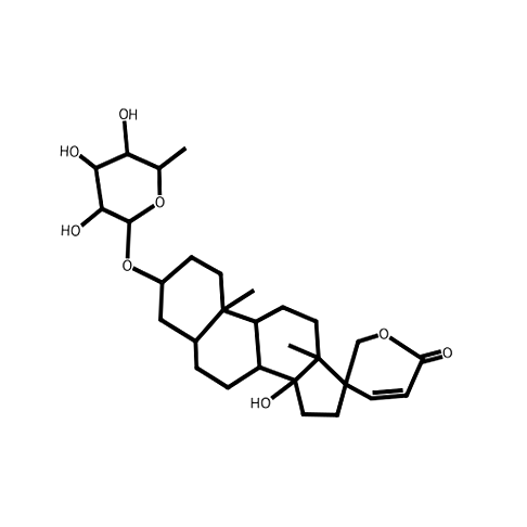 CC1OC(OC2CCC3(C)C(CCC4C3CCC3(C)C5(C=CC(=O)OC5)CCC43O)C2)C(O)C(O)C1O